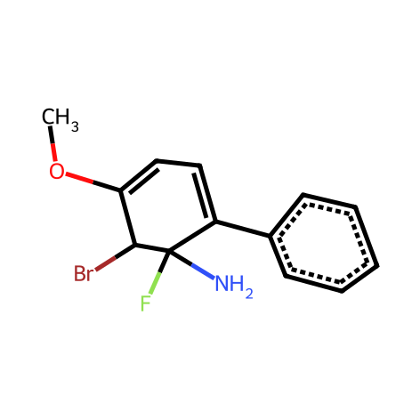 COC1=CC=C(c2ccccc2)C(N)(F)C1Br